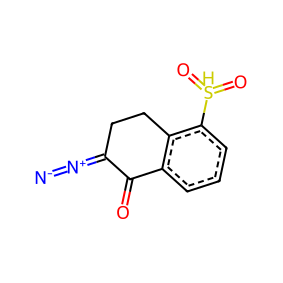 [N-]=[N+]=C1CCc2c(cccc2[SH](=O)=O)C1=O